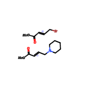 COC(=O)/C=C/CBr.COC(=O)/C=C/CN1CCCCC1